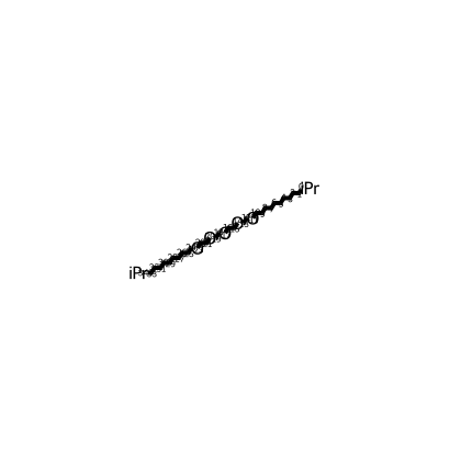 CC(C)CCCCCCCCCCOCCOCCOCCOCCOCCCCCCCCCCC(C)C